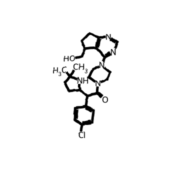 CC1(C)CCC(C(C(=O)N2CCN(c3ncnc4c3C(CO)CC4)CC2)c2ccc(Cl)cc2)N1